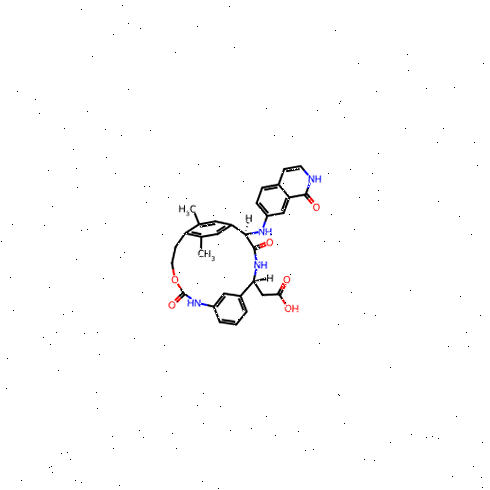 Cc1cc2cc(C)c1CCOC(=O)Nc1cccc(c1)[C@@H](CC(=O)O)NC(=O)[C@@H]2Nc1ccc2cc[nH]c(=O)c2c1